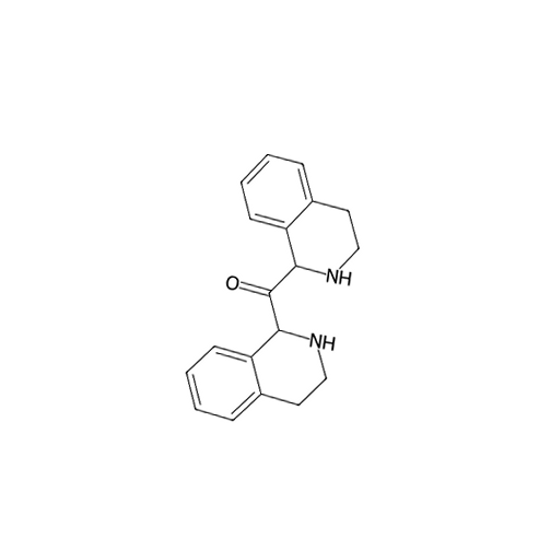 O=C(C1NCCc2ccccc21)C1NCCc2ccccc21